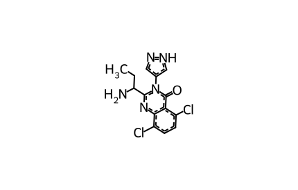 CCC(N)c1nc2c(Cl)ccc(Cl)c2c(=O)n1-c1cn[nH]c1